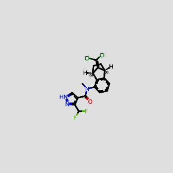 CN(C(=O)c1c[nH]nc1C(F)F)c1cccc2c1[C@@H]1CC[C@H]2C1=C(Cl)Cl